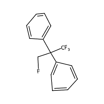 FCC(c1ccccc1)(c1ccccc1)C(F)(F)F